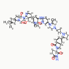 C[C@H]1CN(C2CC(N3CCC[C@@H]3c3ccc4c(c3)CN(C3CCC(=O)NC3=O)C4=O)C2)CCN1c1ccc(Nc2cc(-c3ccnc(N4CCn5c(cc6c5CC(C)(C)C6)C4=O)c3CO)cn(C)c2=O)nc1